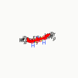 CCN(CC)CCN(CCC(=O)OCCSSCCNC(=O)OC1CC[C@@]2(C)C(=CC[C@H]3C4CCC(CCCCC(C)C)[C@@]4(C)CCC32)C1)CCC(=O)OCCSSCCNC(=O)O[C@H]1CC[C@@]2(C)C(=CCC3C4CCC([C@H](C)CCCC(C)C)[C@@]4(C)CCC32)C1